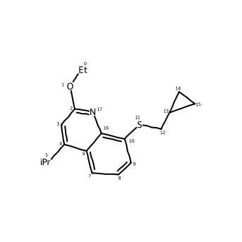 CCOc1cc(C(C)C)c2cccc(SCC3CC3)c2n1